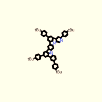 CC(C)(C)c1ccc(-c2ccc3c(c2)c2cc(-c4ccc(C(C)(C)C)cc4)cc4c5cc6c7cc(-c8ccc(C(C)(C)C)cc8)cc8c9cc(-c%10ccc(C(C)(C)C)cc%10)ncc9n(c6cc5n3c24)c87)cc1